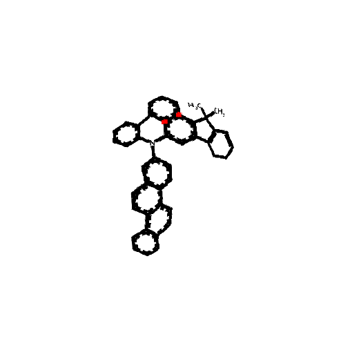 CC1(C)C2=C(CCC=C2)c2cc(N(c3ccc4c(ccc5c6ccccc6ccc45)c3)c3ccccc3-c3ccccc3)ccc21